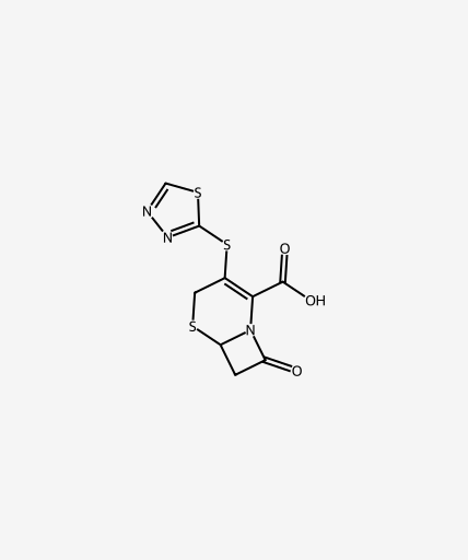 O=C(O)C1=C(Sc2nncs2)CSC2CC(=O)N12